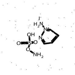 NOS(=O)(=O)O.N[n+]1ccccn1.[I-]